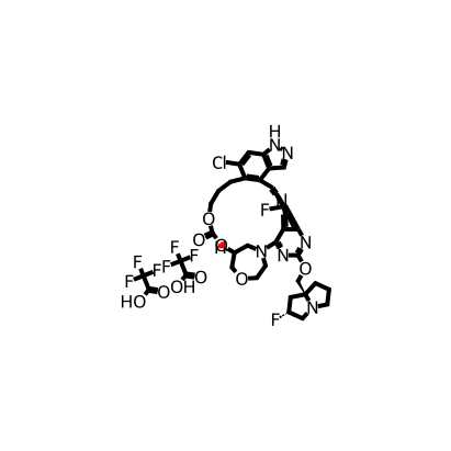 O=C(O)C(F)(F)F.O=C(O)C(F)(F)F.O=C1OCCCc2c(Cl)cc3[nH]ncc3c2-c2ncc3c(nc(OC[C@@]45CCCN4C[C@H](F)C5)nc3c2F)N2CCOC[C@H](C2)O1